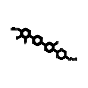 CCCCCCc1ccc(-c2ccc(-c3ccc(C4OCC(CCCCC)CO4)c(F)c3)cc2)c(F)c1F